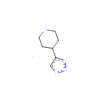 Cl.c1nn[nH]c1C1CCNCC1